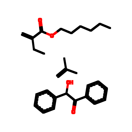 C=C(C)C.C=C(CC)C(=O)OCCCCCC.O=C(c1ccccc1)C(O)c1ccccc1